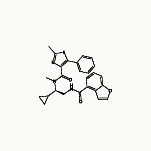 Cc1nc(C(=O)N(C)[C@@H](CNC(=O)c2cccc3occc23)C2CC2)c(-c2ccccc2)s1